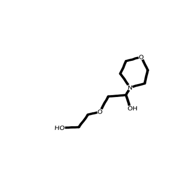 OCCOCC(O)N1CCOCC1